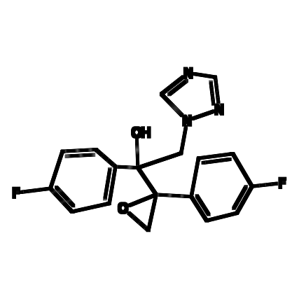 OC(Cn1cncn1)(c1ccc(F)cc1)C1(c2ccc(F)cc2)CO1